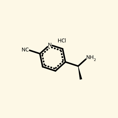 C[C@H](N)c1ccc(C#N)nc1.Cl